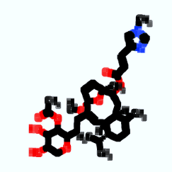 CO[C@]12C=C[C@](C)(O1)[C@@H](OC(=O)/C=C/c1cn(C)cn1)C[C@H]1C(C)=CC[C@H](C(C)C)[C@H]1/C=C\2CCC1OCC(O)C(O)C1OC(C)=O